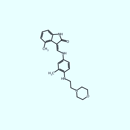 Cc1cc(NC=C2C(=O)Nc3cccc(C)c32)ccc1NCCN1CCOCC1